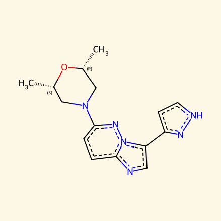 C[C@@H]1CN(c2ccc3ncc(-c4cc[nH]n4)n3n2)C[C@H](C)O1